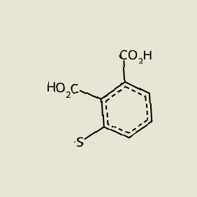 O=C(O)c1cccc([S])c1C(=O)O